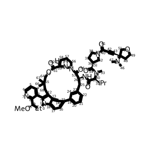 CCn1c(-c2cccnc2[C@H](C)OC)c2c3cc(ccc31)-c1cccc(c1)C[C@H](NC(=O)[C@H](C(C)C)N(C)C(=O)[C@H]1CCN(C(=O)C#C[C@]3(N(C)C)CCOC3)C1)C(=O)N1CCC[C@H](N1)C(=O)OCC(C)(C)C2